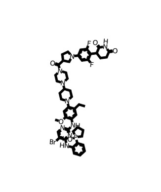 CCc1cc(Nc2ncc(Br)c(Nc3ccccc3[P]3(O)CCCC3)n2)c(OC)cc1N1CCC(N2CCN(C(=O)C3CCN(c4cc(F)c(C5CCC(=O)NC5=O)c(F)c4)C3)CC2)CC1